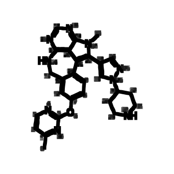 Cc1ccnc(Oc2ccc3c(c2)CNc2ncnc4c2c-3c(-c2cnn(C3CCNCC3)c2)n4C)n1